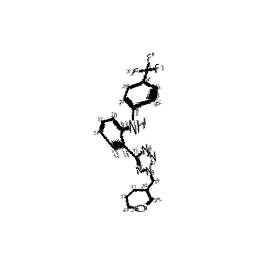 FC(F)(F)c1ccc(Nc2ccccc2-c2nnn(CC3CCCOC3)n2)cc1